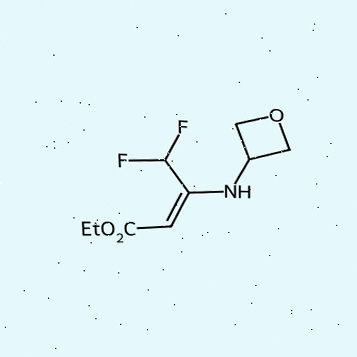 CCOC(=O)C=C(NC1COC1)C(F)F